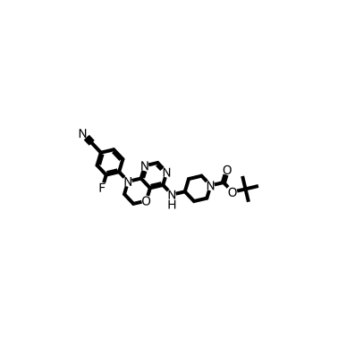 CC(C)(C)OC(=O)N1CCC(Nc2ncnc3c2OCCN3c2ccc(C#N)cc2F)CC1